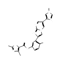 Cc1nc(C)c(C(=O)Nc2ccc(F)c(-c3cn4cc(-c5cn(C)cn5)cnc4n3)c2)o1